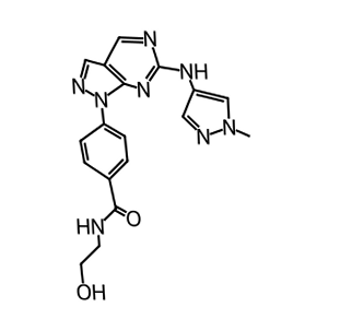 Cn1cc(Nc2ncc3cnn(-c4ccc(C(=O)NCCO)cc4)c3n2)cn1